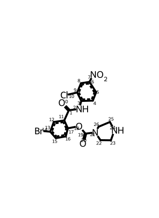 O=C(Nc1ccc([N+](=O)[O-])cc1Cl)c1cc(Br)ccc1OC(=O)N1CCNCC1